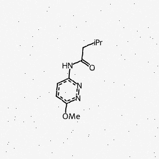 COc1ccc(NC(=O)CC(C)C)nn1